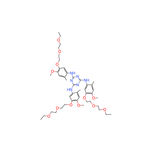 CCOCCOCCOc1cc(Nc2nc(Nc3cc(OCCOCCOCC)c(OC)cc3C)nc(Nc3cc(OCCOCCOCC)c(OC)cc3C)n2)c(C)cc1OC